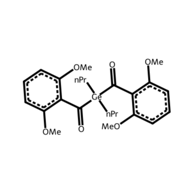 CC[CH2][Ge]([CH2]CC)([C](=O)c1c(OC)cccc1OC)[C](=O)c1c(OC)cccc1OC